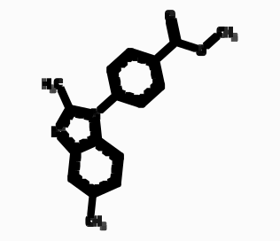 COC(=O)c1ccc(-n2c(C)nc3cc(C)ccc32)cc1